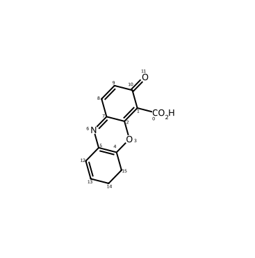 O=C(O)c1c2oc3c(nc-2ccc1=O)C=CCC3